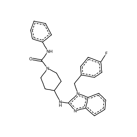 O=C(Nc1ccccc1)N1CCC(Nc2nc3ccccc3n2Cc2ccc(F)cc2)CC1